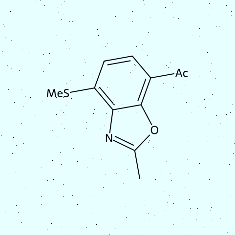 CSc1ccc(C(C)=O)c2oc(C)nc12